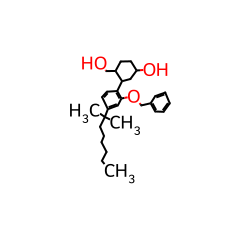 CCCCCCC(C)(C)c1ccc(C2CC(O)CCC2CO)c(OCc2ccccc2)c1